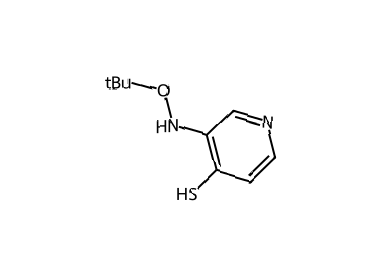 CC(C)(C)ONc1cnccc1S